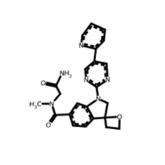 CN(CC(N)=O)C(=O)c1ccc2c(c1)N(c1ncc(-c3ccccn3)cn1)CC21CCO1